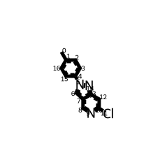 Cc1ccc(-n2cc3cnc(Cl)cc3n2)cc1